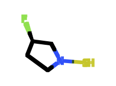 F[C@@H]1CCN(S)C1